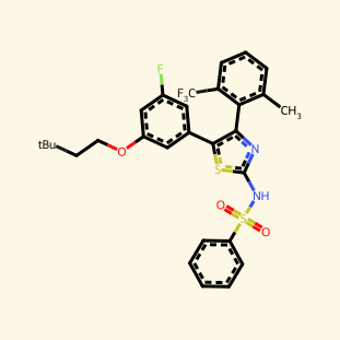 Cc1cccc(C(F)(F)F)c1-c1nc(NS(=O)(=O)c2ccccc2)sc1-c1cc(F)cc(OCCC(C)(C)C)c1